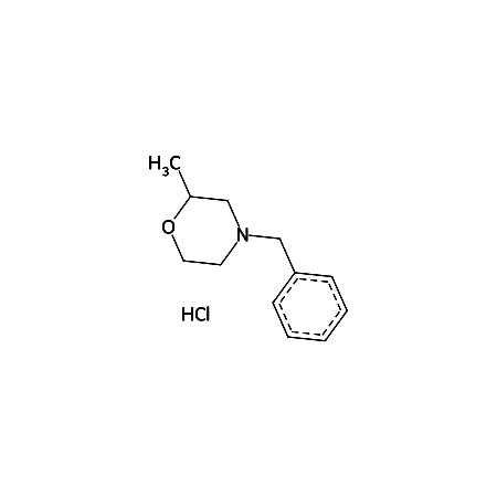 CC1CN(Cc2ccccc2)CCO1.Cl